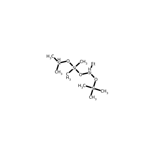 CC[SiH](O[Si](C)(C)C)O[Si](C)(C)O[SiH](C)C